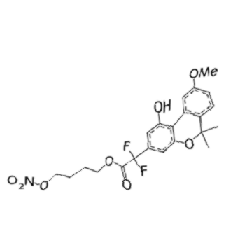 COc1ccc2c(c1)-c1c(O)cc(C(F)(F)C(=O)OCCCCO[N+](=O)[O-])cc1OC2(C)C